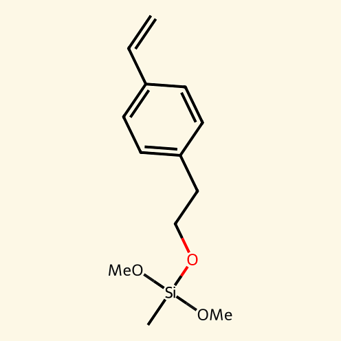 C=Cc1ccc(CCO[Si](C)(OC)OC)cc1